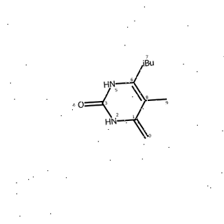 C=C1NC(=O)NC(C(C)CC)=C1C